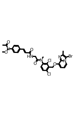 CON(C(C)=O)c1ccc(C=CC(=O)NCC(=O)N(C)c2ccc(Cl)c(COc3cccn4c(Br)c(C)nc34)c2Cl)cc1